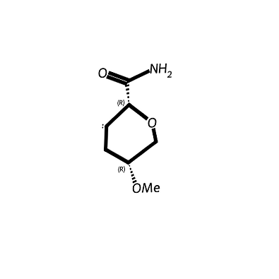 CO[C@@H]1C[C][C@H](C(N)=O)OC1